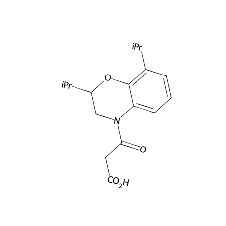 CC(C)c1cccc2c1OC(C(C)C)CN2C(=O)CC(=O)O